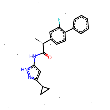 C[C@@H](C(=O)Nc1cc(C2CC2)n[nH]1)c1ccc(-c2ccccc2)c(F)c1